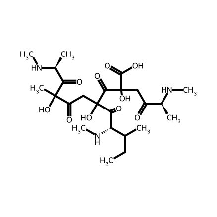 CCC(C)[C@H](NC)C(=O)C(O)(CC(=O)C(C)(O)C(=O)[C@H](C)NC)C(=O)C(O)(CC(=O)[C@H](C)NC)C(=O)O